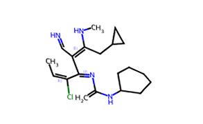 C=C(/N=C(C(\Cl)=C/C)/C(C=N)=C(\CC1CC1)NC)NC1CCCCC1